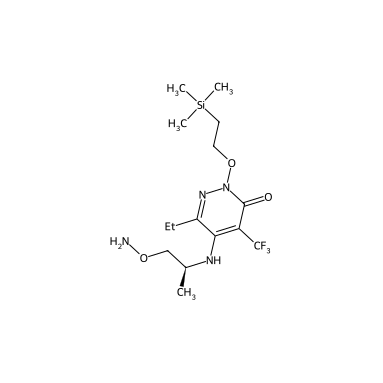 CCc1nn(OCC[Si](C)(C)C)c(=O)c(C(F)(F)F)c1N[C@@H](C)CON